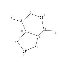 CC1COC(C)C2COCC12